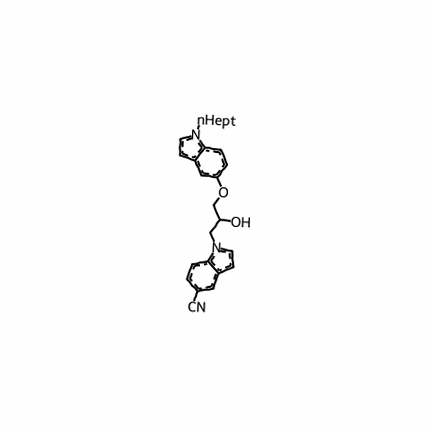 CCCCCCCn1ccc2cc(OCC(O)Cn3ccc4cc(C#N)ccc43)ccc21